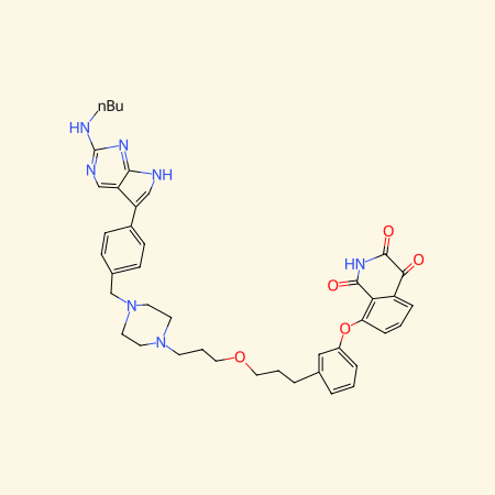 CCCCNc1ncc2c(-c3ccc(CN4CCN(CCCOCCCc5cccc(Oc6cccc7c6C(=O)NC(=O)C7=O)c5)CC4)cc3)c[nH]c2n1